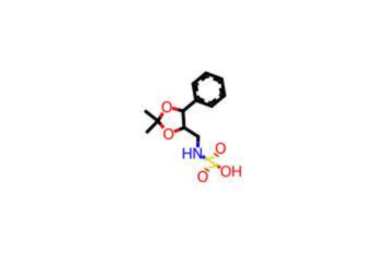 CC1(C)OC(CNS(=O)(=O)O)C(c2ccccc2)O1